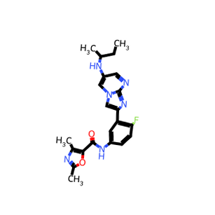 CCC(C)Nc1cnc2nc(-c3cc(NC(=O)c4oc(C)nc4C)ccc3F)cn2c1